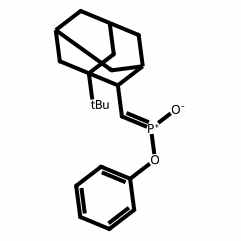 CC(C)(C)C12CC3CC(CC(C3)C1/C=[P+](\[O-])Oc1ccccc1)C2